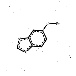 CCOc1ccc2s[c]nc2c1